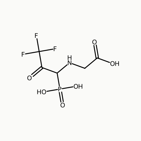 O=C(O)CNC(C(=O)C(F)(F)F)P(=O)(O)O